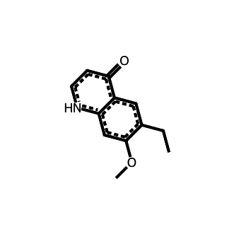 CCc1cc2c(=O)cc[nH]c2cc1OC